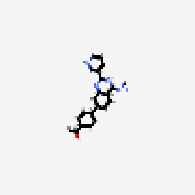 CNc1nc(-c2cccnc2)nc2cc(-c3ccc(C(C)=O)cc3)ccc12